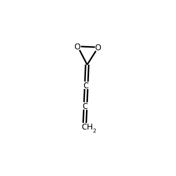 C=C=C=C1OO1